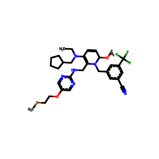 CCN(CC1CCCC1)C1=C(CNc2ncc(OCCSC)cn2)N(Cc2cc(C#N)cc(C(F)(F)F)c2)C(OC)C=C1